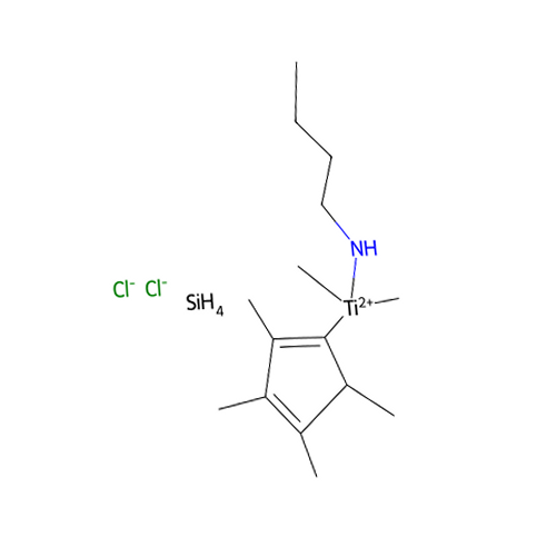 CCCC[NH][Ti+2]([CH3])([CH3])[C]1=C(C)C(C)=C(C)C1C.[Cl-].[Cl-].[SiH4]